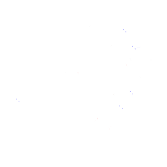 N#CC=Cc1cccc(OCCCc2sc(N3CCc4cccc(C(=O)Nc5nc6ccccc6s5)c4C3)nc2C(=O)O)c1